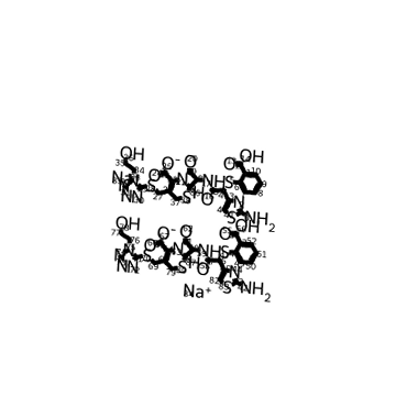 Nc1nc(C(Sc2ccccc2C(=O)O)C(=O)NC2C(=O)N3C(C(=O)[O-])=C(CSc4nnnn4CCO)CS[C@H]23)cs1.Nc1nc(C(Sc2ccccc2C(=O)O)C(=O)NC2C(=O)N3C(C(=O)[O-])=C(CSc4nnnn4CCO)CS[C@H]23)cs1.[Na+].[Na+]